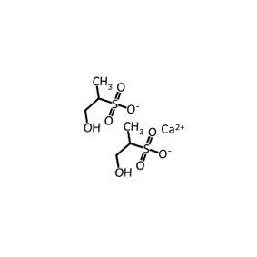 CC(CO)S(=O)(=O)[O-].CC(CO)S(=O)(=O)[O-].[Ca+2]